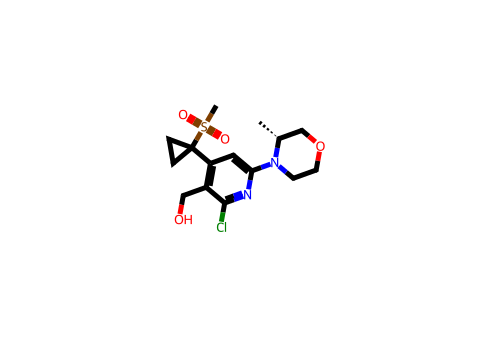 C[C@@H]1COCCN1c1cc(C2(S(C)(=O)=O)CC2)c(CO)c(Cl)n1